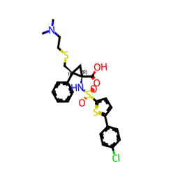 CN(C)CCSC[C@@]1(c2ccccc2)C[C@]1(NS(=O)(=O)c1ccc(-c2ccc(Cl)cc2)s1)C(=O)O